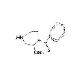 COC1CNCCN1C(=O)c1ccccc1